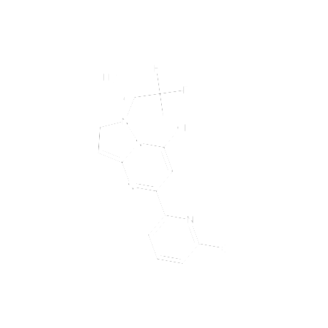 CC1=CC(c2cccc(Cl)n2)=NC2=CCN([C@H](C)C(F)(F)F)N12